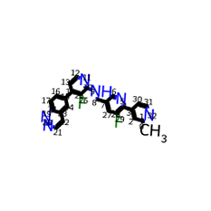 Cc1cc(-c2ncc(CNc3nccc(-c4ccc5nnccc5c4)c3F)cc2F)ccn1